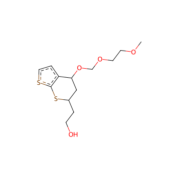 COCCOCOC1CC(CCO)Sc2sccc21